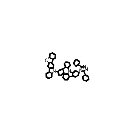 c1ccc(-c2nnc(-c3ccccc3)n2-c2ccc3c4ccccc4n(-c4ccccc4-c4cccc(-n5c6ccccc6c6cc7oc8ccccc8c7cc65)c4)c3c2)cc1